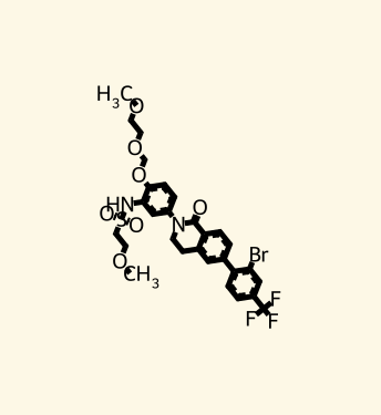 COCCOCOc1ccc(N2CCc3cc(-c4ccc(C(F)(F)F)cc4Br)ccc3C2=O)cc1NS(=O)(=O)CCOC